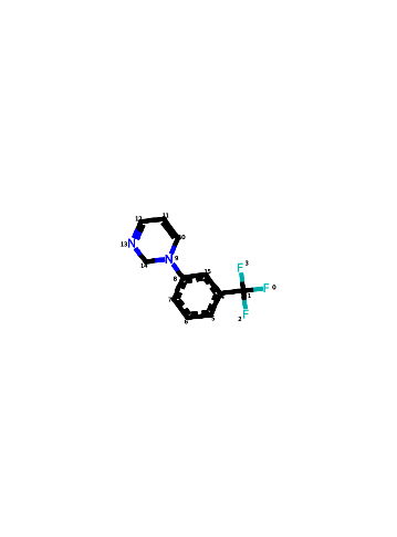 FC(F)(F)c1cccc(N2C=CC=NC2)c1